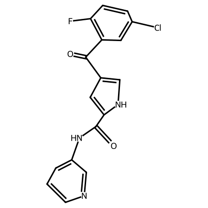 O=C(Nc1cccnc1)c1cc(C(=O)c2cc(Cl)ccc2F)c[nH]1